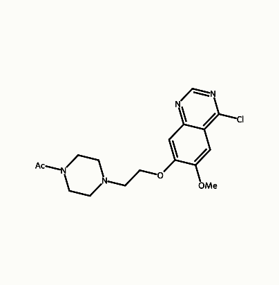 COc1cc2c(Cl)ncnc2cc1OCCN1CCN(C(C)=O)CC1